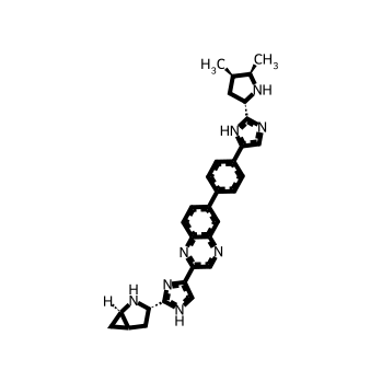 C[C@@H]1C[C@@H](c2ncc(-c3ccc(-c4ccc5nc(-c6c[nH]c([C@@H]7CC8C[C@H]8N7)n6)cnc5c4)cc3)[nH]2)N[C@@H]1C